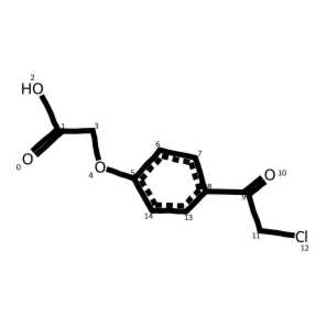 O=C(O)COc1ccc(C(=O)CCl)cc1